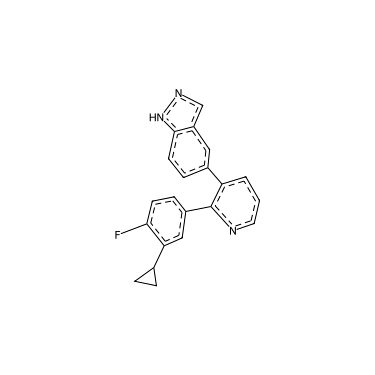 Fc1ccc(-c2ncccc2-c2ccc3[nH]ncc3c2)cc1C1CC1